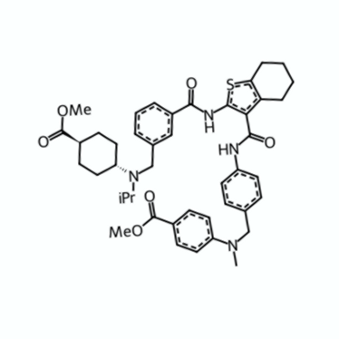 COC(=O)c1ccc(N(C)Cc2ccc(NC(=O)c3c(NC(=O)c4cccc(CN(C(C)C)[C@H]5CC[C@H](C(=O)OC)CC5)c4)sc4c3CCCC4)cc2)cc1